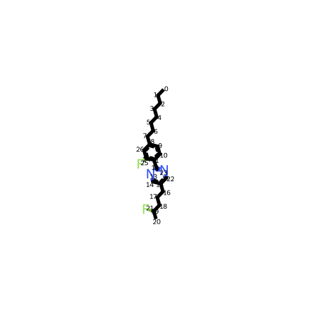 CCCCCCCCc1ccc(-c2ncc(CCCC(C)F)cn2)c(F)c1